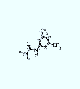 CN(C)C(=O)Nc1cc(C(F)(F)F)cc(C(F)(F)F)c1